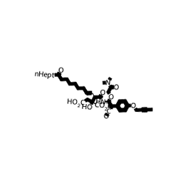 CC#CCOc1ccc(C(=C=O)[C@@H](NC(=O)[C@@H](C=CCCCCCCC(=O)CCCCCCC)[C@@](O)(CC(=O)O)C(=O)O)OCC(=O)N(C)C)cc1